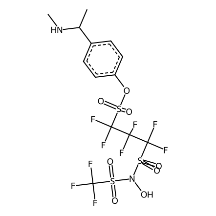 CNC(C)c1ccc(OS(=O)(=O)C(F)(F)C(F)(F)C(F)(F)S(=O)(=O)N(O)S(=O)(=O)C(F)(F)F)cc1